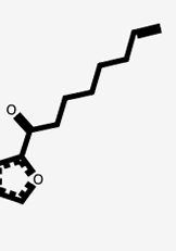 C=CCCCCCC(=O)c1ccco1